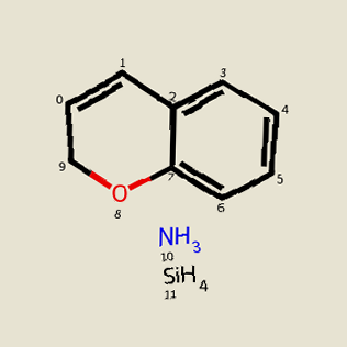 C1=Cc2ccccc2OC1.N.[SiH4]